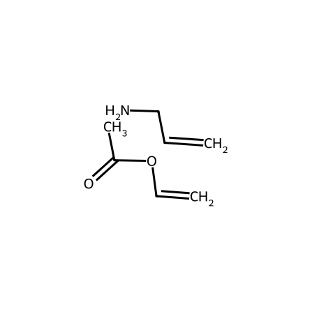 C=CCN.C=COC(C)=O